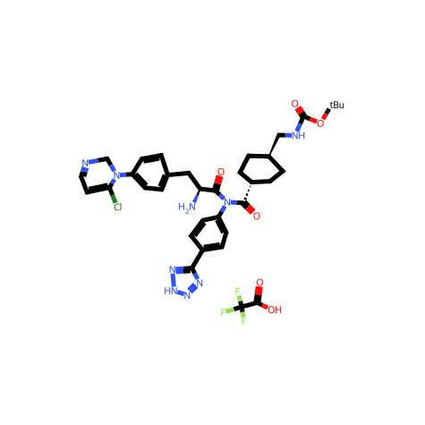 CC(C)(C)OC(=O)NC[C@H]1CC[C@H](C(=O)N(C(=O)[C@@H](N)Cc2ccc(N3CN=CC=C3Cl)cc2)c2ccc(-c3nn[nH]n3)cc2)CC1.O=C(O)C(F)(F)F